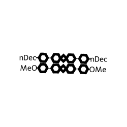 CCCCCCCCCC[C@H]1CC[C@H](C2CCC3(CC2)CC2(CCC([C@H]4CC[C@H](CCCCCCCCCC)CC4)CC2)C3)CC1.CO[C@H]1CC[C@H](C2CCC3(CC2)CC2(CCC([C@H]4CC[C@H](OC)CC4)CC2)C3)CC1